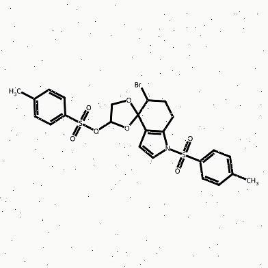 Cc1ccc(S(=O)(=O)OC2COC3(O2)c2ccn(S(=O)(=O)c4ccc(C)cc4)c2CCC3Br)cc1